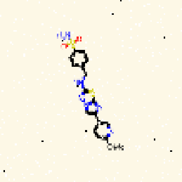 COc1ccc(-c2cn3nc(NCc4ccc(S(N)(=O)=O)cc4)sc3n2)cn1